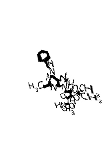 CCc1nc(NCc2ccccc2)c2ncn([C@@H]3O[C@H](C(=O)NC)[C@H]4OC(C)(C)O[C@H]43)c2n1